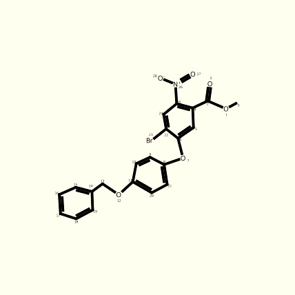 COC(=O)c1cc(Oc2ccc(OCc3ccccc3)cc2)c(Br)cc1[N+](=O)[O-]